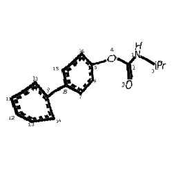 CC(C)NC(=O)Oc1ccc(-c2ccccc2)cc1